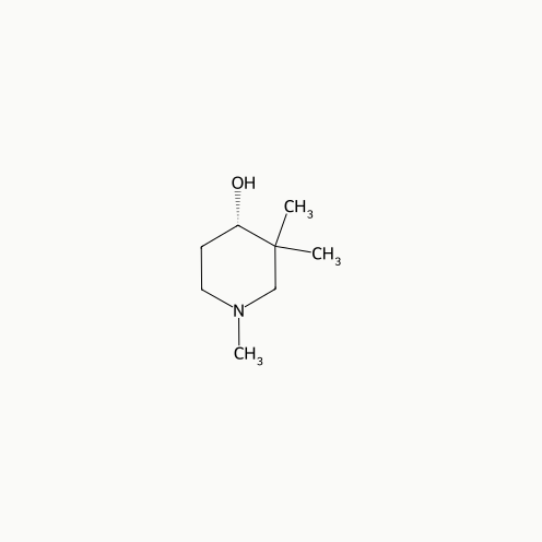 CN1CC[C@H](O)C(C)(C)C1